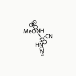 COc1cc(S(C)(=O)=O)ccc1NCC#Cc1sc2c(NC3CCN(C4CC4)CC3)cccc2c1CC#N